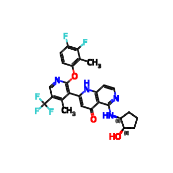 Cc1c(Oc2ncc(C(F)(F)F)c(C)c2-c2cc(=O)c3c(N[C@H]4CCC[C@H]4O)nccc3[nH]2)ccc(F)c1F